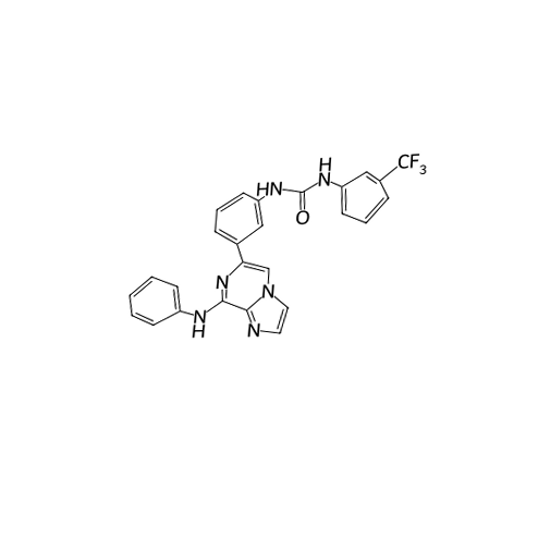 O=C(Nc1cccc(-c2cn3ccnc3c(Nc3ccccc3)n2)c1)Nc1cccc(C(F)(F)F)c1